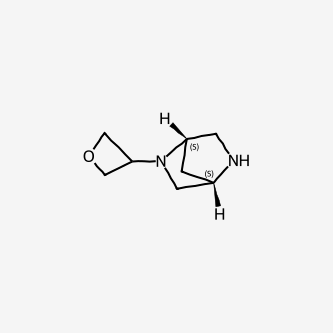 C1OCC1N1C[C@@H]2C[C@H]1CN2